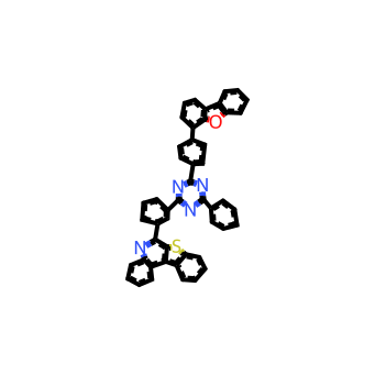 c1ccc(-c2nc(-c3ccc(-c4cccc5c4oc4ccccc45)cc3)nc(-c3cccc(-c4nc5ccccc5c5c4sc4ccccc45)c3)n2)cc1